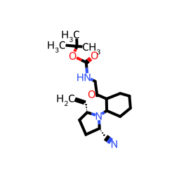 C=C[C@H]1CC[C@@H](C#N)N1C1CCCCC1C(=O)CNC(=O)OC(C)(C)C